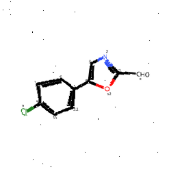 O=Cc1ncc(-c2ccc(Cl)cc2)o1